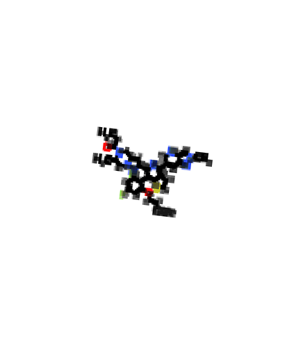 C=CC(=O)N1Cc2cc(-c3nc(-c4cnc5cn(C)nc5c4)c4ccsc4c3-c3c(F)cc(F)cc3OCCOC)nn2CC1C